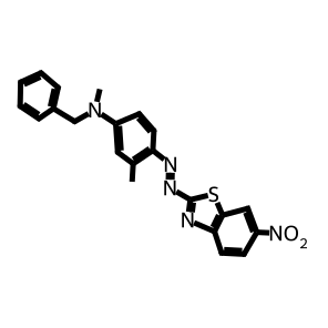 Cc1cc(N(C)Cc2ccccc2)ccc1N=Nc1nc2ccc([N+](=O)[O-])cc2s1